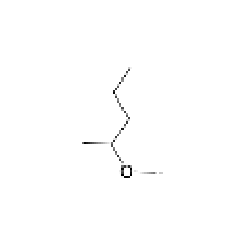 [CH2]OC(C)CCC